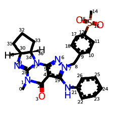 CN1C(=O)c2c(nn(Cc3ccc(S(C)(=O)=O)cc3)c2Nc2ccccc2)N2C1=N[C@@H]1CCC[C@@H]12